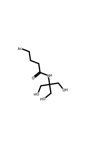 CC(=O)CCCC(=O)NC(CO)(CO)CO